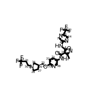 Cc1noc(Nc2cnc(C(F)(F)F)cn2)c1C(=O)Nc1ccc(OC[C@H]2CCN(CCC(F)(F)F)C2)nc1